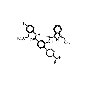 O=C(O)Cc1cc(F)ccc1NC(=O)c1ccc(N2CCC(C(F)F)CC2)c(NC(=O)c2nn(CC(F)(F)F)c3ccccc23)c1